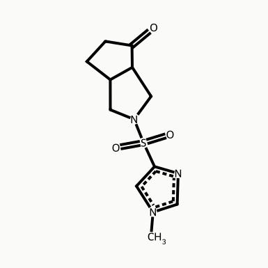 Cn1cnc(S(=O)(=O)N2CC3CCC(=O)C3C2)c1